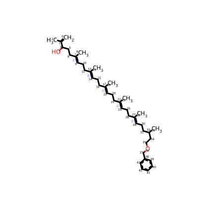 C=C(C)C(O)CC/C(C)=C/CC/C(C)=C/CC/C(C)=C/CC/C(C)=C/CC/C(C)=C/CCC(C)CCOCc1ccccc1